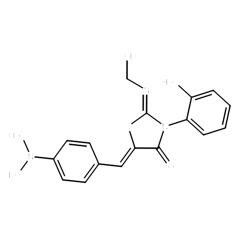 CC/N=C1\S/C(=C\c2ccc(N(C)C)cc2)C(=O)N1c1ccccc1C